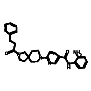 Nc1ccccc1NC(=O)c1ccc(N2CCC3(CCN(C(=O)CCc4ccccc4)C3)CC2)nc1